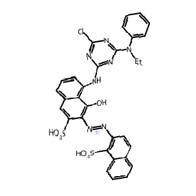 CCN(c1ccccc1)c1nc(Cl)nc(Nc2cccc3cc(S(=O)(=O)O)c(/N=N/c4ccc5ccccc5c4S(=O)(=O)O)c(O)c23)n1